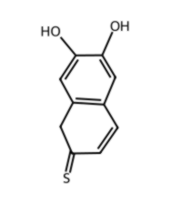 Oc1cc2c(cc1O)CC(=S)C=C2